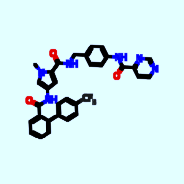 Cn1cc(NC(=O)c2ccccc2-c2ccc(C(F)(F)F)cc2)cc1C(=O)NCc1ccc(NC(=O)c2ccncn2)cc1